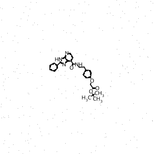 CC(C)(C)OC(=O)COc1ccc(CCNC(=O)c2ccnc3[nH]c(-c4ccccc4)nc23)cc1